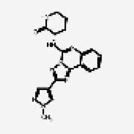 Cn1cc(-c2nc3c4ccccc4nc(N[C@H]4CCCNC4=O)n3n2)cn1